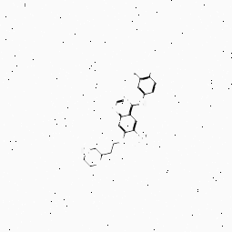 O=[N+]([O-])c1cc2c(Nc3ccc(F)c(Cl)c3)ncnc2cc1OCCC1CNCCO1